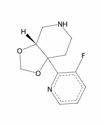 Fc1cccnc1C12CCNC[C@H]1OCO2